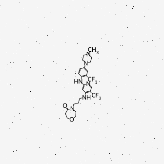 CN1CCN(c2ccc(Nc3cc(NCCCN4CCOCCC4=O)c(C(F)(F)F)cn3)c(C(F)(F)F)c2)CC1